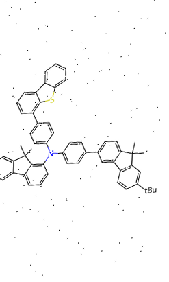 CC(C)(C)c1ccc2c(c1)C(C)(C)c1ccc(-c3ccc(N(c4ccc(-c5cccc6c5sc5ccccc56)cc4)c4cccc5c4C(C)(C)c4ccccc4-5)cc3)cc1-2